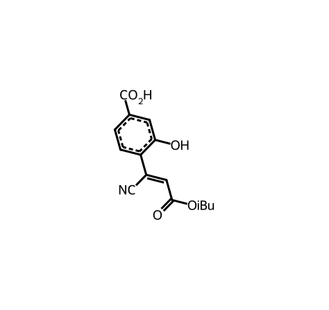 CC(C)COC(=O)C=C(C#N)c1ccc(C(=O)O)cc1O